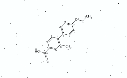 CCOc1ccc(-c2ccc(C(=O)O)cc2C)cc1